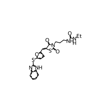 CCNC(=O)NCCCN1C(=O)S/C(=C\c2ccc(Sc3nc4ccccc4[nH]3)o2)C1=O